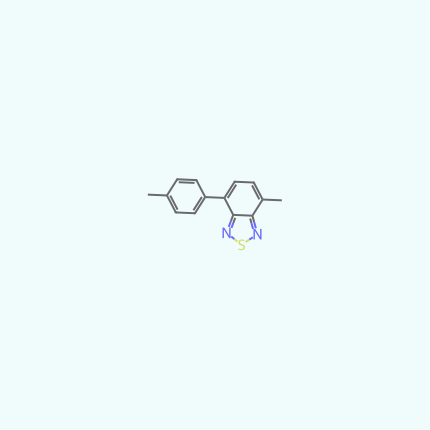 Cc1ccc(-c2ccc(C)c3nsnc23)cc1